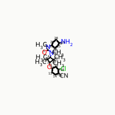 CN(C(=O)N(C)C1C(C)(C)C(Oc2ccc(C#N)c(Cl)c2)C1(C)C)c1ccc(N)cc1